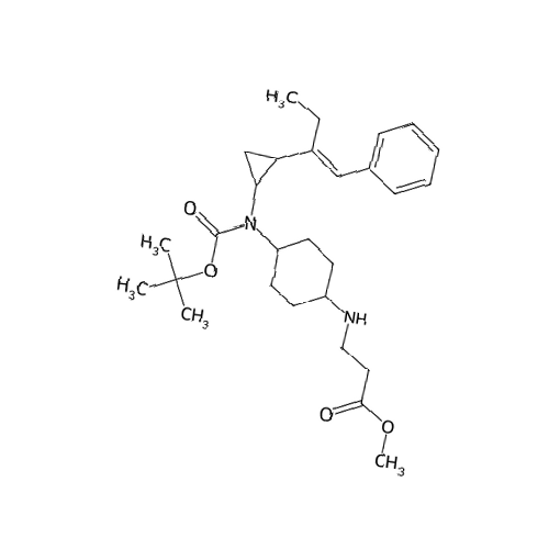 CCC(=Cc1ccccc1)C1CC1N(C(=O)OC(C)(C)C)C1CCC(NCCC(=O)OC)CC1